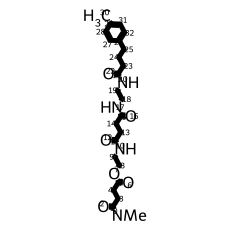 CNC(=O)CCC(=O)OCCNC(=O)CCC(=O)NCCNC(=O)CCCc1ccc(C)cc1